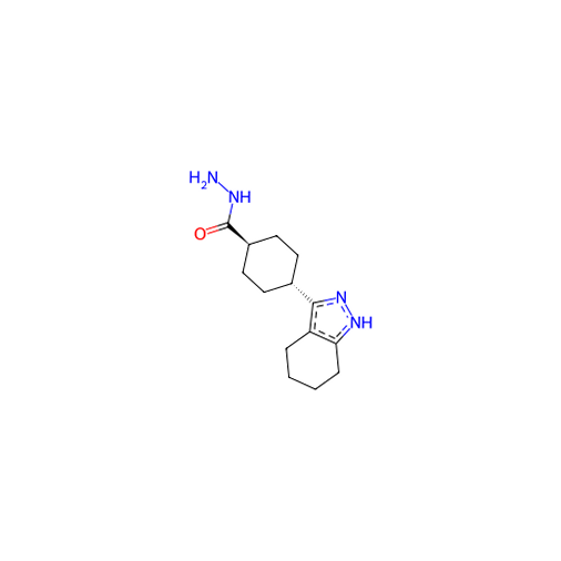 NNC(=O)[C@H]1CC[C@H](c2n[nH]c3c2CCCC3)CC1